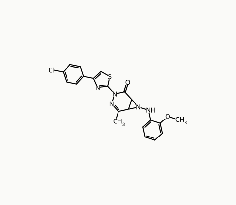 COc1ccccc1NN1C2C(=O)N(c3nc(-c4ccc(Cl)cc4)cs3)N=C(C)C21